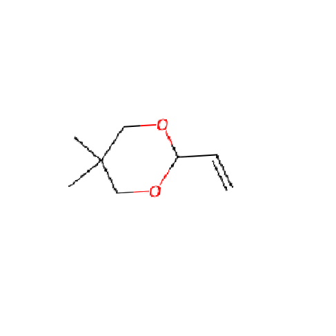 C=CC1OCC(C)(C)CO1